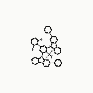 Fc1cccc(F)c1-c1cc(-n2c3ccccc3c3ccc(-c4ccccc4)cc32)c(C(F)(F)F)c(-n2c3ccccc3c3ccc(-c4ccccc4)cc32)c1